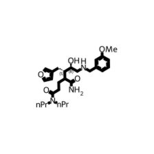 CCCN(CCC)C(=O)CCC(C(N)=O)[C@H](Cc1ccoc1)[C@@H](O)CNCc1cccc(OC)c1